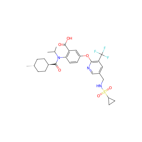 CC(C)N(c1ccc(Oc2ncc(CNS(=O)(=O)C3CC3)cc2C(F)(F)F)cc1C(=O)O)C(=O)[C@H]1CC[C@H](C)CC1